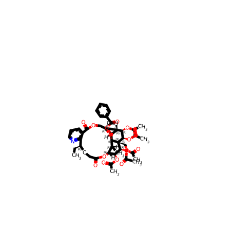 CC[C@@H]1CCC(=O)O[C@H]2[C@H](OC(C)=O)[C@H](OC(C)=O)[C@@]3(COC(C)=O)[C@H](OC(C)=O)[C@H](OC(C)=O)[C@@H]4[C@@H](OC(=O)c5ccccc5)[C@]3(O[C@@]4(C)COC(=O)c3cccnc31)[C@@H]2C